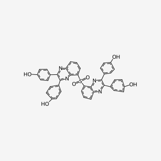 O=S(=O)(c1cccc2nc(-c3ccc(O)cc3)c(-c3ccc(O)cc3)nc12)c1cccc2nc(-c3ccc(O)cc3)c(-c3ccc(O)cc3)nc12